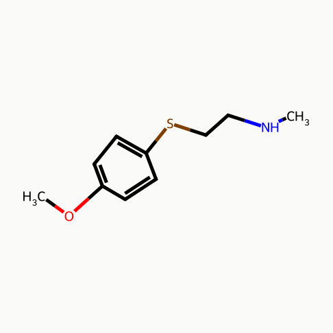 CNCCSc1ccc(OC)cc1